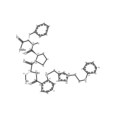 CNC(=O)[C@H](Cc1ccccc1)N(C)C(=O)[C@H]1CCCN1C(=O)[C@@H](CC(C)C)NC(=O)c1ccccc1OCc1cn(CCOc2ccccc2)nn1